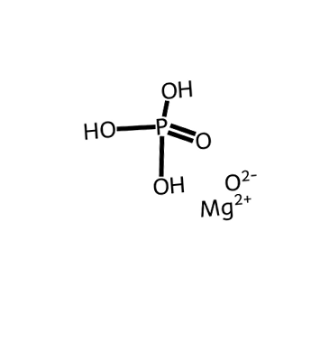 O=P(O)(O)O.[Mg+2].[O-2]